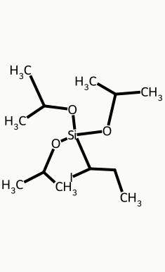 CCC(I)[Si](OC(C)C)(OC(C)C)OC(C)C